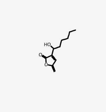 C=C1C=C(C(O)CCCCC)C(=O)O1